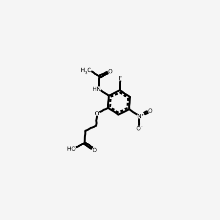 CC(=O)Nc1c(F)cc([N+](=O)[O-])cc1OCCC(=O)O